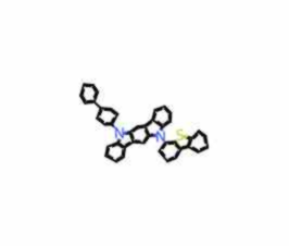 c1ccc(-c2ccc(-n3c4ccccc4c4cc5c(cc43)c3ccccc3n5-c3cccc4c3sc3ccccc34)cc2)cc1